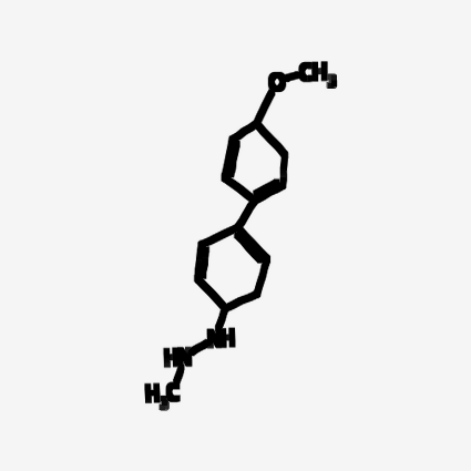 CNNC1C=CC(C2=CCC(OC)C=C2)=CC1